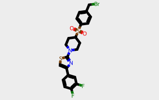 O=S(=O)(c1ccc(CBr)cc1)C1CCN(c2nc(-c3ccc(F)c(F)c3)cs2)CC1